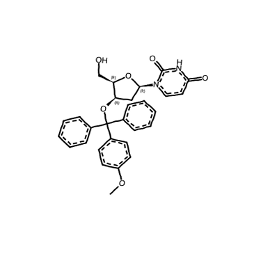 COc1ccc(C(O[C@@H]2C[C@H](n3ccc(=O)[nH]c3=O)O[C@@H]2CO)(c2ccccc2)c2ccccc2)cc1